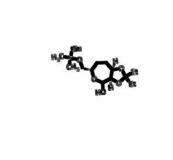 CCC1(CC)O[C@@H]2CC[C@@H](CO[Si](C)(C)C(C)(C)C)OC(O)[C@@H]2O1